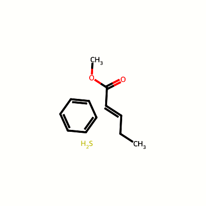 CCC=CC(=O)OC.S.c1ccccc1